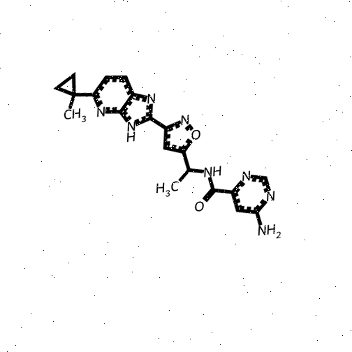 CC(NC(=O)c1cc(N)ncn1)c1cc(-c2nc3ccc(C4(C)CC4)nc3[nH]2)no1